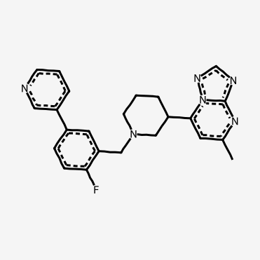 Cc1cc(C2CCCN(Cc3cc(-c4cccnc4)ccc3F)C2)n2ncnc2n1